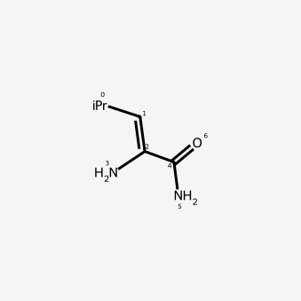 CC(C)/C=C(\N)C(N)=O